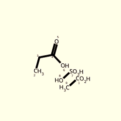 CC(=O)O.CCC(=O)O.O=S(=O)(O)O